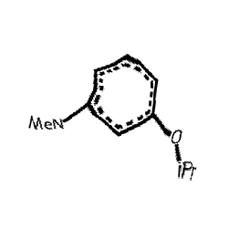 CNc1cccc(OC(C)C)c1